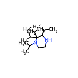 CC(C)C1NCCN(C(C)C)C1(C(C)C)C(C)C